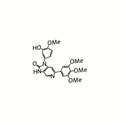 COc1ccc(-n2c(=O)[nH]c3cnc(-c4cc(OC)c(OC)c(OC)c4)cc32)cc1O